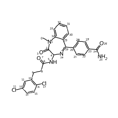 CN1C(=O)C(NC(=O)CCc2cc(Cl)ccc2Cl)N=C(c2ccc(C(N)=O)cc2)c2ccccc21